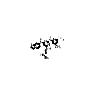 CC[C@H](C)NCCNc1cc(Nc2ccn3ccnc3c2)nc(Nc2cc(C)cc(C)n2)n1